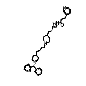 O=C(CCc1cccnc1)NCCCCC1CCN(CCCCC2CCN(C(c3ccccc3)c3ccccc3)CC2)CC1